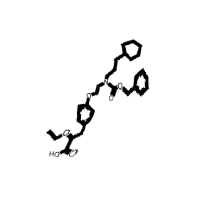 CCOC(Cc1ccc(OCCN(CCCC2CCCCC2)C(=O)OCc2ccccc2)cc1)C(=O)O